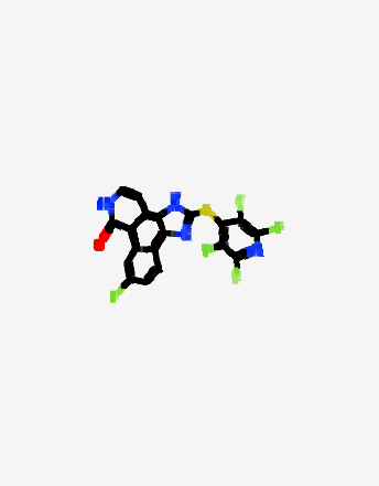 O=c1[nH]ccc2c3[nH]c(Sc4c(F)c(F)nc(F)c4F)nc3c3ccc(F)cc3c12